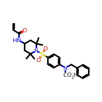 C=CC(=O)NC1CC(C)(C)N(S(=O)(=O)c2ccc(N(Cc3ccccc3)C(=O)O)cc2)C(C)(C)C1